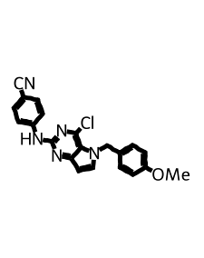 COc1ccc(Cn2ccc3nc(Nc4ccc(C#N)cc4)nc(Cl)c32)cc1